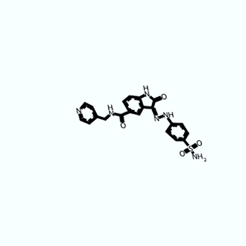 NS(=O)(=O)c1ccc(NN=C2C(=O)Nc3ccc(C(=O)NCc4ccncc4)cc32)cc1